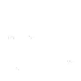 COc1ccc(C2NC(C3CCCC3)Nc3ccncc32)cc1